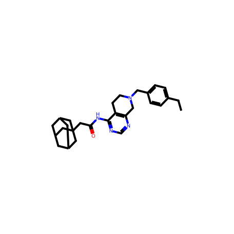 CCc1ccc(CN2CCc3c(ncnc3NC(=O)CC34CC5CC(CC(C5)C3)C4)C2)cc1